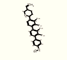 C=CC1CCC(c2ccc(-c3ccc(-c4ccc(OCC)cc4)c(F)c3F)c(F)c2F)OC1